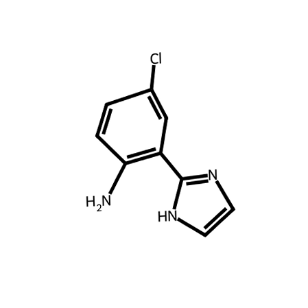 Nc1ccc(Cl)cc1-c1ncc[nH]1